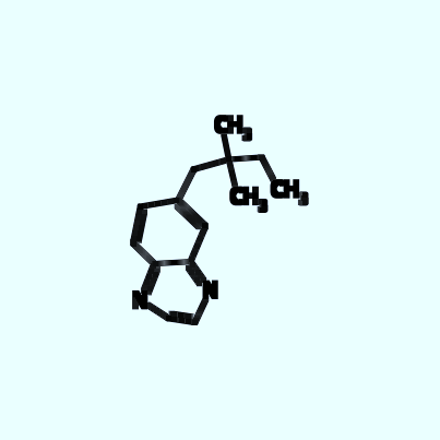 CCC(C)(C)Cc1ccc2nccnc2c1